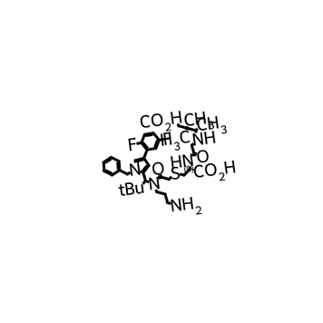 CC(NCC(=O)N[C@@H](CSCC(=O)N(CCCN)C(c1cc(-c2cc(F)ccc2F)cn1Cc1ccccc1)C(C)(C)C)C(=O)O)C(C)(C)CC(=O)O